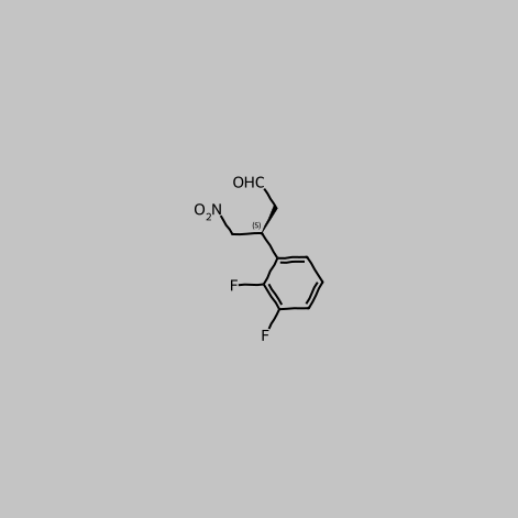 O=CC[C@H](C[N+](=O)[O-])c1cccc(F)c1F